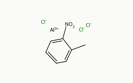 Cc1ccccc1[N+](=O)[O-].[Al+3].[Cl-].[Cl-].[Cl-]